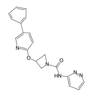 O=C(Nc1cccnn1)N1CC(Oc2ccc(-c3ccccc3)cn2)C1